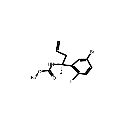 C=CC[C@](C)(NC(=O)OC(C)(C)C)c1cc(Br)ccc1F